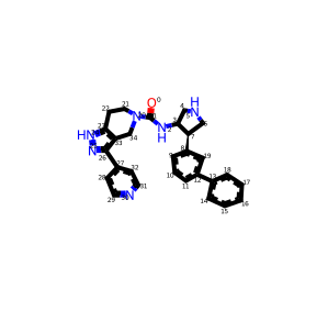 O=C(NC1CNC[C@H]1c1cccc(-c2ccccc2)c1)N1CCc2[nH]nc(-c3ccncc3)c2C1